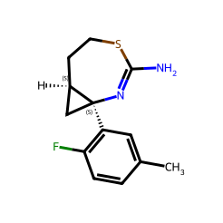 Cc1ccc(F)c([C@]23C[C@H]2CCSC(N)=N3)c1